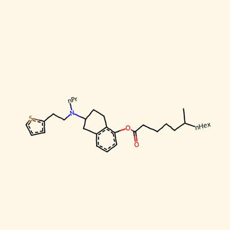 CCCCCCC(C)CCCCC(=O)Oc1cccc2c1CCC(N(CCC)CCc1cccs1)C2